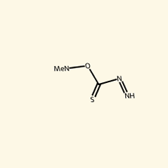 CNOC(=S)N=N